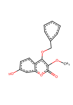 COc1c(OCc2ccccc2)c2ccc(O)cc2oc1=O